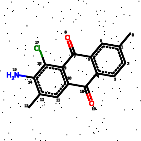 Cc1ccc2c(c1)C(=O)c1c(cc(C)c(N)c1Cl)C2=O